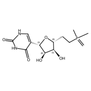 C=P(C)(C)CC[C@H]1O[C@@H](c2c[nH]c(=O)[nH]c2=O)[C@H](O)[C@@H]1O